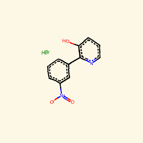 Br.O=[N+]([O-])c1cccc(-c2ncccc2O)c1